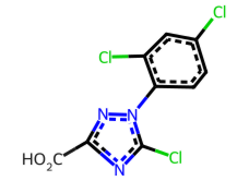 O=C(O)c1nc(Cl)n(-c2ccc(Cl)cc2Cl)n1